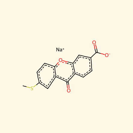 CSc1ccc2oc3cc(C(=O)[O-])ccc3c(=O)c2c1.[Na+]